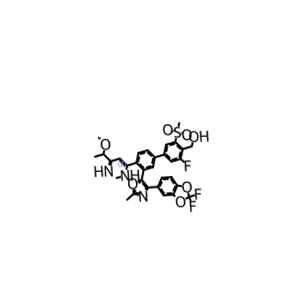 CN/C(=C\C(=N)C(C)OC)c1ccc(-c2cc(F)c(CO)c(S(C)(=O)=O)c2)cc1-c1oc(C)nc1-c1ccc2c(c1)OC(F)(F)O2